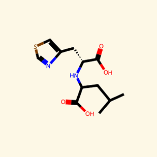 CC(C)CC(N[C@H](Cc1cscn1)C(=O)O)C(=O)O